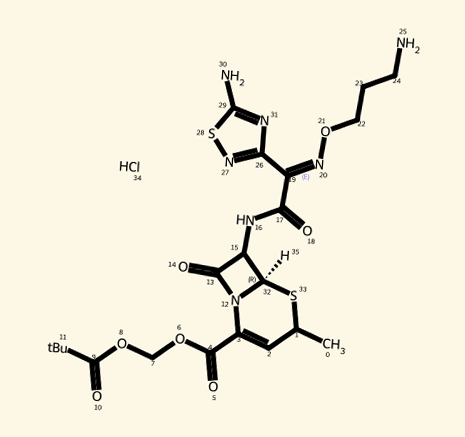 CC1C=C(C(=O)OCOC(=O)C(C)(C)C)N2C(=O)C(NC(=O)/C(=N/OCCCN)c3nsc(N)n3)[C@H]2S1.Cl